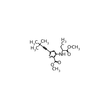 CCC(Nc1cc(C#CC(C)(C)C)sc1C(=O)OC)C(=O)OC